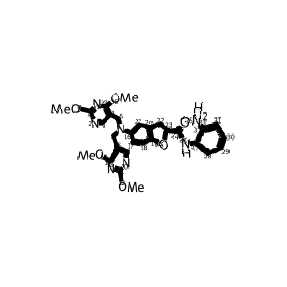 COc1ncc(CN(Cc2cnc(OC)nc2OC)c2ccc3c(c2)CC(C(=O)Nc2ccccc2N)O3)c(OC)n1